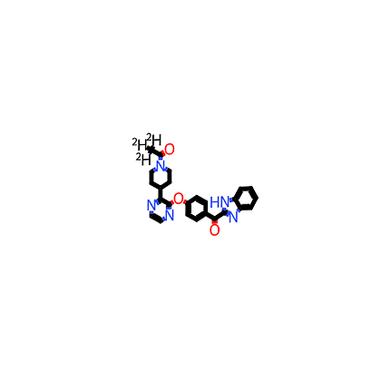 [2H]C([2H])([2H])C(=O)N1CCC(c2nccnc2Oc2ccc(C(=O)c3nc4ccccc4[nH]3)cc2)CC1